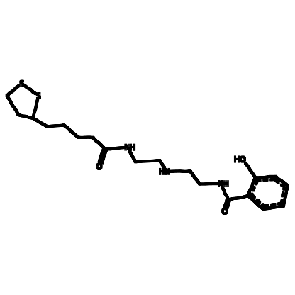 O=C(CCCCC1CCSS1)NCCNCCNC(=O)c1ccccc1O